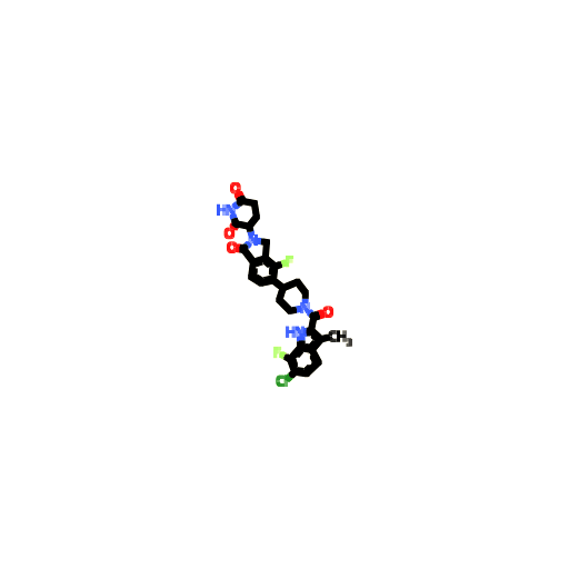 Cc1c(C(=O)N2CCC(c3ccc4c(c3F)CN(C3CCC(=O)NC3=O)C4=O)CC2)[nH]c2c(F)c(Cl)ccc12